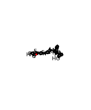 CCc1cccc2cc(O)cc(-c3ncc4c(N5CC6CCC(C5)N6)nc(OCC5(CN6CCC7(CC6)CN(CC6(F)CCN(c8cc(F)c(C9CCC(=O)NC9=O)c(F)c8)CC6)C7)CC5)nc4c3F)c12